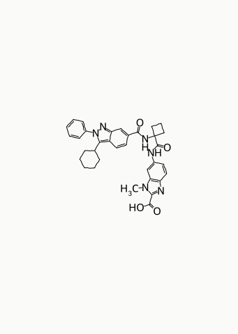 Cn1c(C(=O)O)nc2ccc(NC(=O)C3(NC(=O)c4ccc5c(C6CCCCC6)n(-c6ccccc6)nc5c4)CCC3)cc21